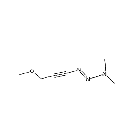 COCC#CN=NN(C)C